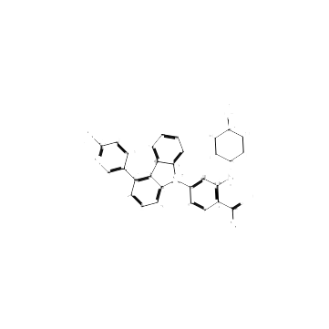 Cl.NC(=O)c1ccc(-n2c3ccccc3c3c(-c4ccc(N)nc4)cccc32)cc1N[C@H]1CC[C@H](O)CC1